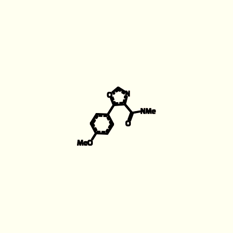 CNC(=O)c1ncoc1-c1ccc(OC)cc1